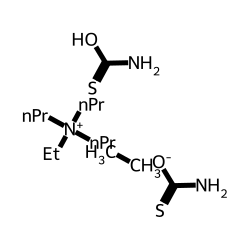 CC.CCC[N+](CC)(CCC)CCC.NC(O)=S.NC([O-])=S